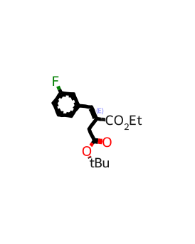 CCOC(=O)/C(=C/c1cccc(F)c1)CC(=O)OC(C)(C)C